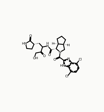 O=C(CO)C(C[C@@H]1CCNC1=O)NC(=O)[C@@H]1[C@H]2CCC[C@H]2CN1C(=O)c1nc2c(Cl)ccc(Cl)c2[nH]1